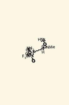 CNC(CC(=O)NCCCCCCN(C)CCC(CSc1ccccc1)Nc1ccc(S(N)(=O)=O)cc1S(=O)(=O)C(F)(F)F)c1ccc(C2=C(C)NCS2)cc1